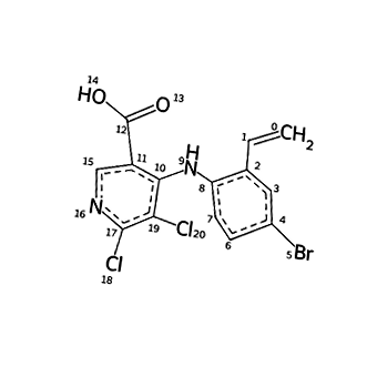 C=Cc1cc(Br)ccc1Nc1c(C(=O)O)cnc(Cl)c1Cl